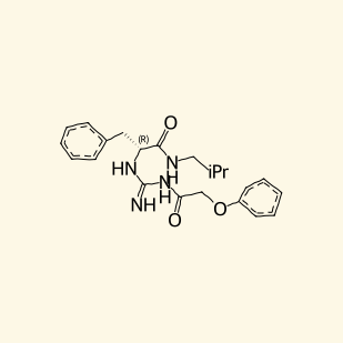 CC(C)CNC(=O)[C@@H](Cc1ccccc1)NC(=N)NC(=O)COc1ccccc1